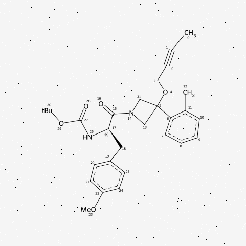 CC#CCOC1(c2ccccc2C)CN(C(=O)[C@@H](Cc2ccc(OC)cc2)NC(=O)OC(C)(C)C)C1